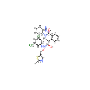 Cc1ncc(CONC(=O)[C@@H]2c3ccccc3C(=O)N([C@H]3CCCC[C@@H]3N)[C@H]2c2ccc(Cl)cc2Cl)s1